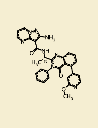 COc1cc(-c2cccc3nc([C@H](C)NC(=O)c4c(N)nn5cccnc45)n(-c4ccccc4)c(=O)c23)ccn1